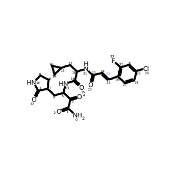 NC(=O)C(=O)C(CC1CCNC1=O)NC(=O)C(CC1CC1)NC(=O)/C=C/c1ccc(Cl)cc1F